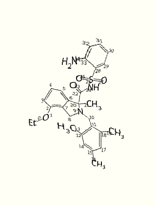 CCOc1cccc2c1CN(Cc1c(C)cc(C)cc1C)C2(C)C(=O)NS(=O)(=O)c1ccccc1N